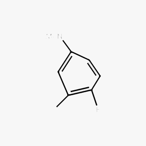 CNc1ccc(F)c(C)c1